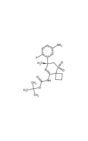 CC(C)(C)OC(=O)NC1=N[C@](C)(c2cc(N)ccc2F)CS(=O)(=O)C12CCC2